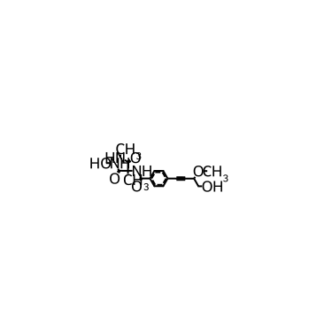 CNC(=O)C(C)(NC(=O)c1ccc(C#CC(CO)OC)cc1)C(=O)NO